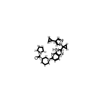 O=C([C@@H]1CCCN(c2ccc3nc(C4(n5cc(C6CC6)cn5)CC4)[nH]c3n2)C1)N1CCCC1